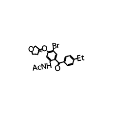 CCc1ccc(C(=O)c2cc(Br)c(O[C@H]3CCOC3)cc2NC(C)=O)cc1